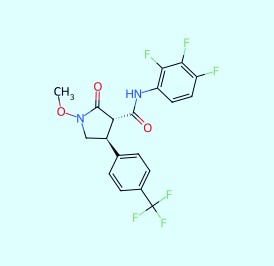 CON1C[C@H](c2ccc(C(F)(F)F)cc2)[C@@H](C(=O)Nc2ccc(F)c(F)c2F)C1=O